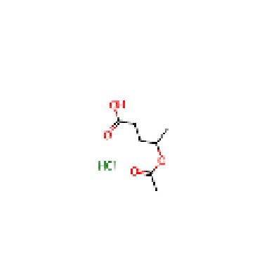 CC(=O)OC(C)CCC(=O)O.Cl